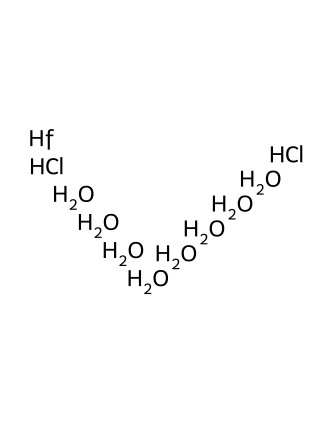 Cl.Cl.O.O.O.O.O.O.O.O.[Hf]